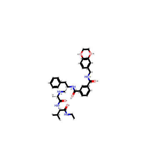 CCNC(=O)[C@@H](NC(=O)[C@H](C)NC[C@H](Cc1ccccc1)NC(=O)c1cccc(C(=O)NCc2ccc3c(c2)OCCO3)c1)C(C)C